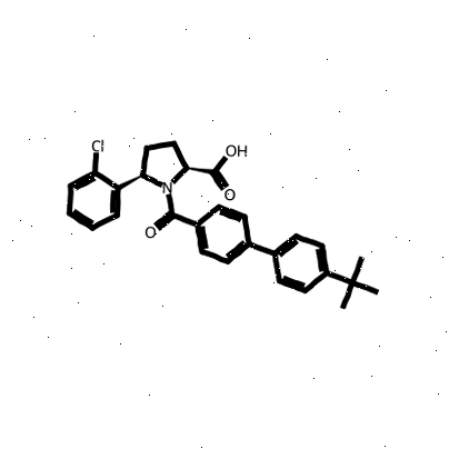 CC(C)(C)c1ccc(-c2ccc(C(=O)N3[C@@H](c4ccccc4Cl)CC[C@H]3C(=O)O)cc2)cc1